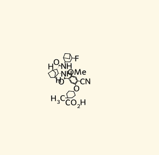 COc1cc(C#N)c(O[C@H]2CC[C@@](C)(C(=O)O)CC2)cc1C(=O)N[C@@H]1[C@@H]2CC[C@@H](C2)[C@@H]1C(=O)NC1CC(F)C2CC1C2